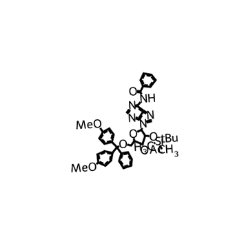 COc1ccc(C(OCC2OC(n3cnc4c(NC(=O)c5ccccc5)ncnc43)C(O[Si](C)(C)C(C)(C)C)C2OC(C)=O)(c2ccccc2)c2ccc(OC)cc2)cc1